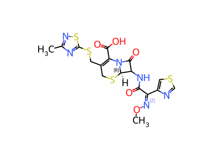 CO/N=C(\C(=O)NC1C(=O)N2C(C(=O)O)=C(CSc3nc(C)ns3)CS[C@H]12)c1cscn1